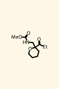 CCC(=O)C1(CNC(=O)OC)CCCCO1